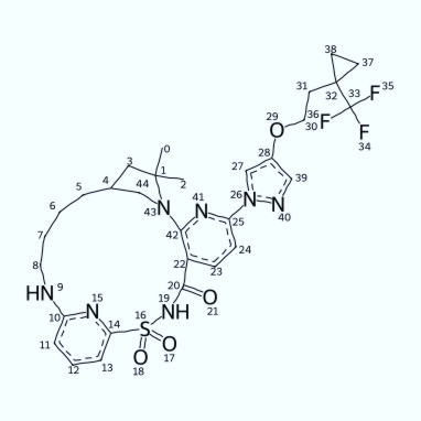 CC1(C)CC2CCCCNc3cccc(n3)S(=O)(=O)NC(=O)c3ccc(-n4cc(OCCC5(C(F)(F)F)CC5)cn4)nc3N1C2